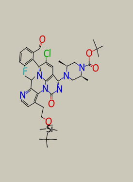 CC(C)c1nccc(CCO[Si](C)(C)C(C)(C)C)c1-n1c(=O)nc(N2C[C@H](C)N(C(=O)OC(C)(C)C)C[C@@H]2C)c2cc(Cl)c(-c3c(F)cccc3C=O)nc21